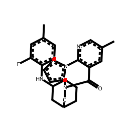 Cc1cnc(NC2CC3CCC2N(C(=O)c2cc(C)cnc2-n2nccn2)C3)c(F)c1